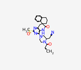 C=CC(=O)N1CCN(c2nc([S+](C)[O-])nc3c2NC(=O)C2(CCCc4ccccc42)C3)CC1CC#N